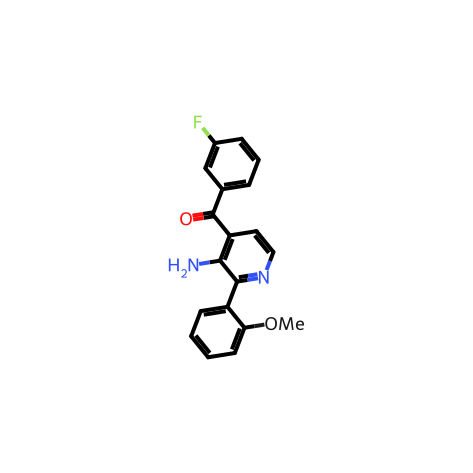 COc1ccccc1-c1nccc(C(=O)c2cccc(F)c2)c1N